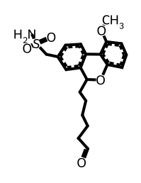 COc1cccc2c1-c1ccc(CS(N)(=O)=O)cc1C(CCCCCC=O)O2